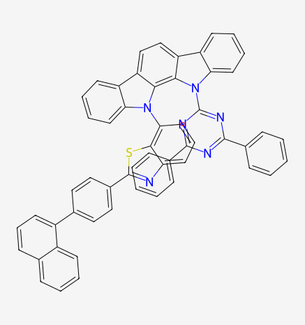 c1ccc(-c2nc(-c3ccccc3)nc(-n3c4ccccc4c4ccc5c6ccccc6n(-c6cccc7nc(-c8ccc(-c9cccc%10ccccc9%10)cc8)sc67)c5c43)n2)cc1